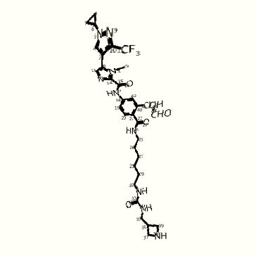 Cn1c(-c2cn(C3CC3)nc2C(F)(F)F)cnc1C(=O)Nc1ccc(C(=O)NCCCCCCNC(=O)NCC2CNC2)c(Cl)c1.O=CO